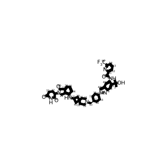 CC(C)(O)c1cc2nn([C@H]3CC[C@H](CN4CCC5(CC4)CC(Nc4cccc6c4CN(C4CCC(=O)NC4=O)C6=O)C5)CC3)cc2cc1NC(=O)c1cccc(C(F)(F)F)n1